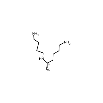 CC(=O)[C@H](CCCCN)NCCCCN